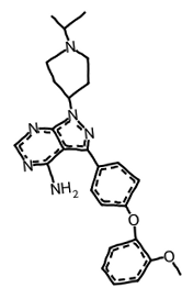 COc1ccccc1Oc1ccc(-c2nn(C3CCN(C(C)C)CC3)c3ncnc(N)c23)cc1